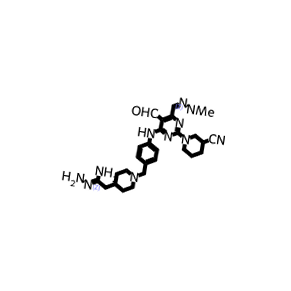 CN/N=C\c1nc(N2CCCC(C#N)C2)nc(Nc2ccc(CN3CCC(C/C(N)=N/N)CC3)cc2)c1C=O